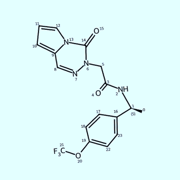 C[C@H](NC(=O)Cn1ncc2cccn2c1=O)c1ccc(OC(F)(F)F)cc1